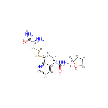 CC1(CNC(=O)c2ccc(SSC[C@H](N)C(N)=O)c3ncccc23)CCCO1